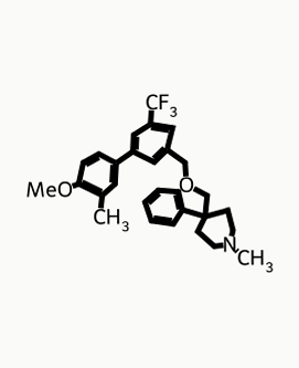 COc1ccc(-c2cc(COCC3(c4ccccc4)CCN(C)CC3)cc(C(F)(F)F)c2)cc1C